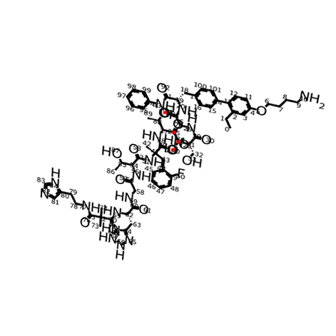 CCc1cc(OCCCCN)ccc1-c1ccc(C[C@H](NC(=O)[C@H](CC(=O)O)NC(=O)[C@H](CO)NC(=O)[C@@H](NC(=O)[C@](C)(Cc2ccccc2F)NC(=O)[C@@H](NC(=O)CNC(=O)[C@H](CC2=NNNN2)NC(=O)C(C)(C)C(=O)NCCc2cnc[nH]2)[C@@H](C)O)[C@@H](C)O)C(=O)Nc2ccccc2)cc1